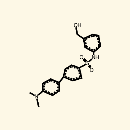 CN(C)c1ccc(-c2ccc(S(=O)(=O)Nc3cccc(CO)c3)cc2)cc1